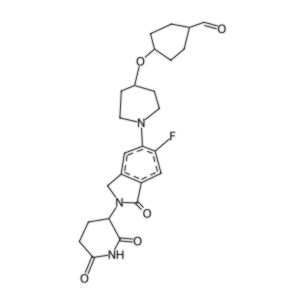 O=CC1CCC(OC2CCN(c3cc4c(cc3F)C(=O)N(C3CCC(=O)NC3=O)C4)CC2)CC1